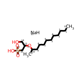 CCCCCCCCCCC(C)OC(CO)CS(=O)(=O)O.[NaH]